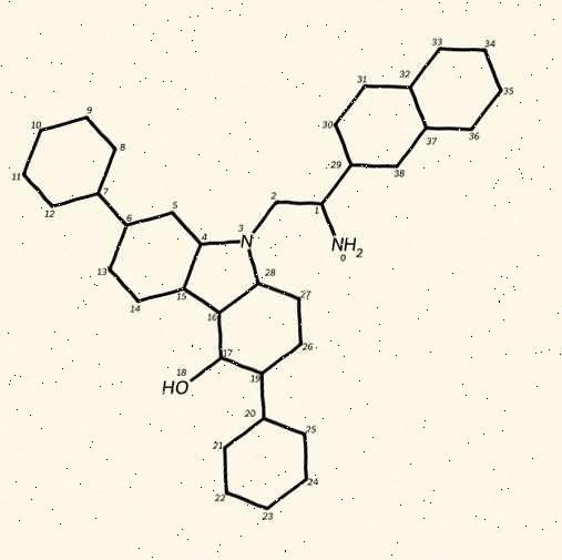 NC(CN1C2CC(C3CCCCC3)CCC2C2C(O)C(C3CCCCC3)CCC21)C1CCC2CCCCC2C1